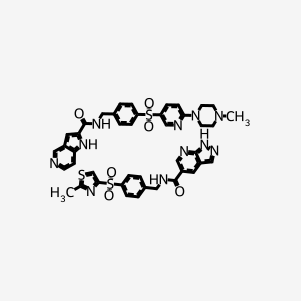 CN1CCN(c2ccc(S(=O)(=O)c3ccc(CNC(=O)c4cc5cnccc5[nH]4)cc3)cn2)CC1.Cc1nc(S(=O)(=O)c2ccc(CNC(=O)c3cnc4[nH]ncc4c3)cc2)cs1